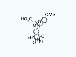 CCn1c(=O)c2cc(N(Cc3ccc(OC)cc3)S(=O)(=O)CCC(=O)O)ccc2n(CC)c1=O